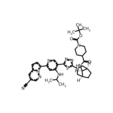 CC(C)Nc1cc(-c2ccc3cc(C#N)cnn23)ncc1-c1nnc(N2C[C@H]3CC[C@@H](C2)[C@H]3NC(=O)C2CCN(C(=O)OC(C)(C)C)CC2)s1